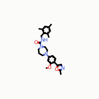 COc1cc(N2CCCN(C(=O)NCc3c(C)cc(C)cc3C)CC2)ccc1-c1cnc(C)o1